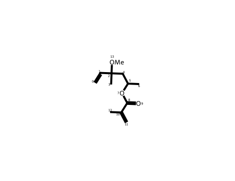 C=CC(C)(CC(C)OC(=O)C(=C)C)OC